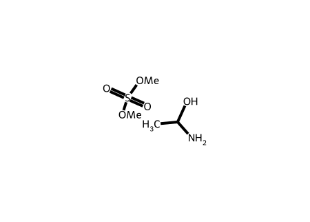 CC(N)O.COS(=O)(=O)OC